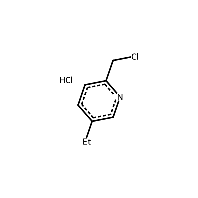 CCc1ccc(CCl)nc1.Cl